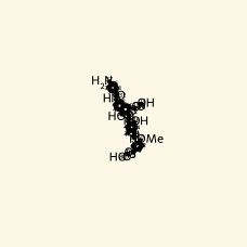 COc1ccc(SOOO)cc1N=Nc1cc(O)c(N=Nc2c(SOOO)cc3cc(NC(=O)c4ccc(N)cc4)ccc3c2O)cc1C